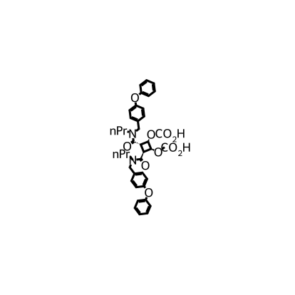 CCCN(Cc1ccc(Oc2ccccc2)cc1)C(=O)[C@@H]1[C@H](OC(=O)O)[C@@H](OC(=O)O)[C@H]1C(=O)N(CCC)Cc1ccc(Oc2ccccc2)cc1